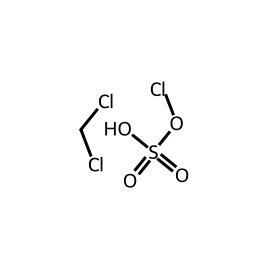 ClCCl.O=S(=O)(O)OCl